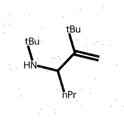 C=C(C(CCC)NC(C)(C)C)C(C)(C)C